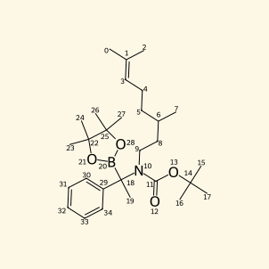 CC(C)=CCCC(C)CCN(C(=O)OC(C)(C)C)C(C)(B1OC(C)(C)C(C)(C)O1)c1ccccc1